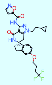 O=C(Nc1nn(CCC2CC2)c2c1C(=O)N[C@@]1(CCc3cc(OCCCC(F)(F)F)ccc31)C2)c1ccno1